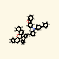 C1=CC2C(Oc3c(ccc4ccccc34)C23c2ccccc2-c2cc(-c4cccc(N(c5ccc(-c6ccccc6)cc5)c5ccc6oc7ccccc7c6c5)c4)ccc23)c2ccccc21